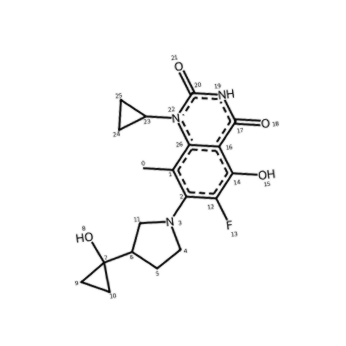 Cc1c(N2CCC(C3(O)CC3)C2)c(F)c(O)c2c(=O)[nH]c(=O)n(C3CC3)c12